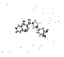 O=C(Nc1ccccc1Br)N[C@@H]1CCN(c2ccc(F)c(F)c2)C1